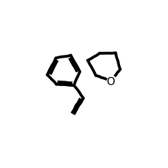 C1CCOCC1.C=Cc1ccccc1